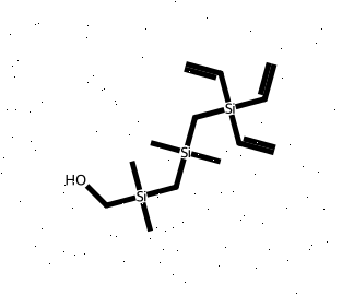 C=C[Si](C=C)(C=C)C[Si](C)(C)C[Si](C)(C)CO